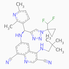 Cc1ccc([C@H](Nc2cc(C#N)c3ncc(C#N)c(NCC(C)(C)C)c3c2)c2cn(C3(C(F)F)CC3)nn2)c(C)n1